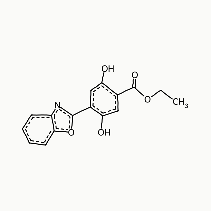 CCOC(=O)c1cc(O)c(-c2nc3ccccc3o2)cc1O